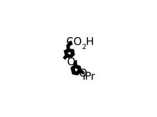 Cc1cc(CCC(=O)O)ccc1OCc1cccc(OC(C)C)c1